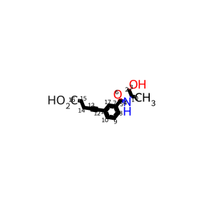 CC(CO)NC(=O)c1cccc(C#CCCC(=O)O)c1